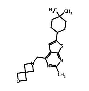 Cc1nc(CN2CC3(COC3)C2)c2cc(C3CCC(C)(C)CC3)sc2n1